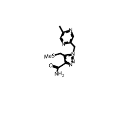 CSCc1c(C(N)=O)nnn1Cc1cnc(C)cn1